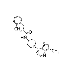 Cc1ccccc1CCC(=O)NC1CCN(c2ncnc3c(C)csc23)CC1